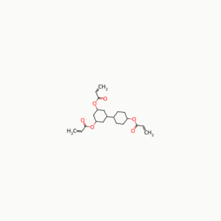 C=CC(=O)OC1CCC(C2CC(OC(=O)C=C)CC(OC(=O)C=C)C2)CC1